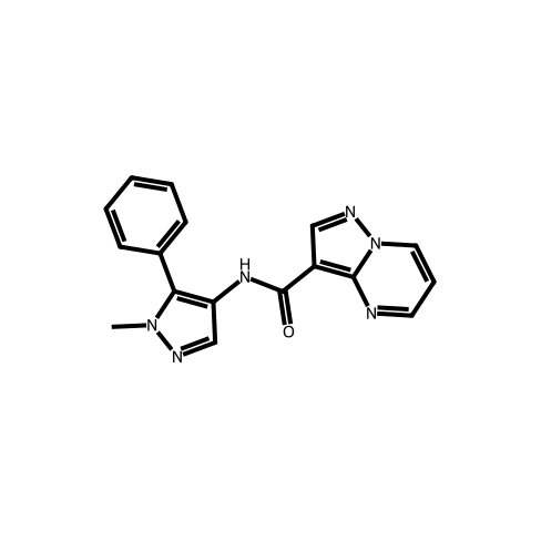 Cn1ncc(NC(=O)c2cnn3cccnc23)c1-c1ccccc1